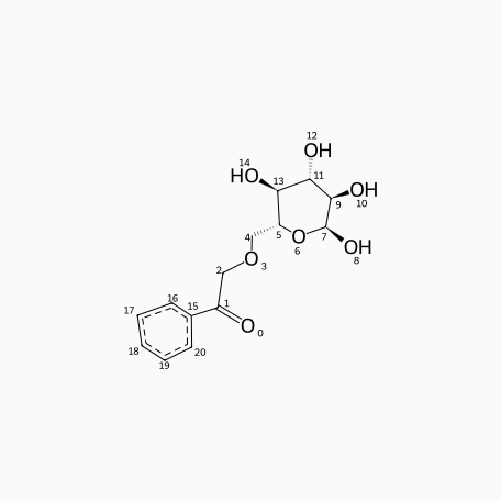 O=C(COC[C@H]1O[C@H](O)[C@H](O)[C@@H](O)[C@@H]1O)c1ccccc1